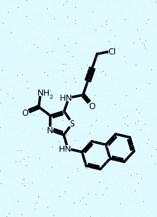 NC(=O)c1nc(Nc2ccc3ccccc3c2)sc1NC(=O)C#CCCl